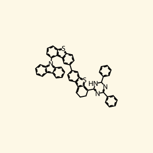 C1=c2c(sc3cc(-c4ccc5sc6cccc(-n7c8ccccc8c8ccccc87)c6c5c4)ccc23)=C(C2=NC(c3ccccc3)=NC(c3ccccc3)N2)CC1